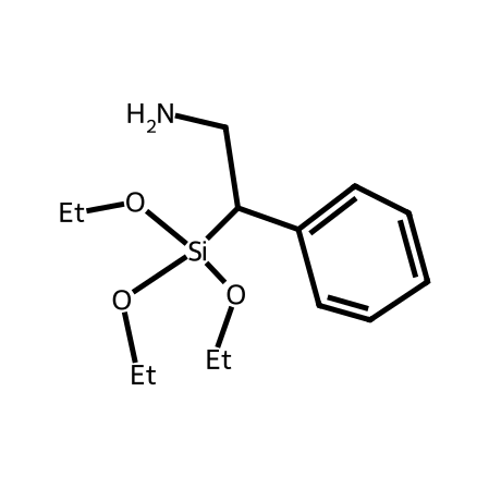 CCO[Si](OCC)(OCC)C(CN)c1ccccc1